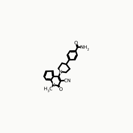 Cn1c(=O)c(C#N)c(N2CCC(c3ccc(C(N)=O)cc3)CC2)c2ccccc21